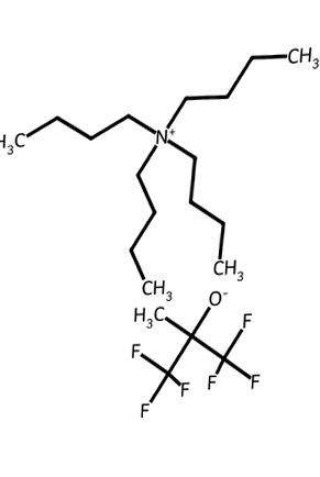 CC([O-])(C(F)(F)F)C(F)(F)F.CCCC[N+](CCCC)(CCCC)CCCC